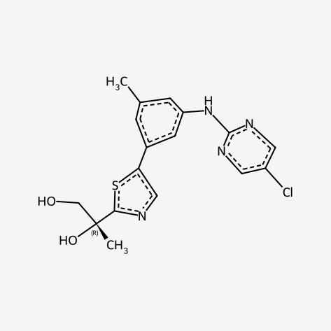 Cc1cc(Nc2ncc(Cl)cn2)cc(-c2cnc([C@](C)(O)CO)s2)c1